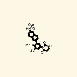 COc1c(-c2ccc3cc(NS(C)(=O)=O)ccc3c2)cc(N2C(=O)CCNC2=O)cc1C(C)(C)C